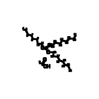 CC(=O)O.CCCCCCCCOP(OCCCCCCCC)OCCCCCCCC